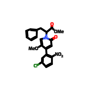 COC(=O)C(Cc1ccccc1)n1cc(OC)c(-c2cc(Cl)ccc2[N+](=O)[O-])cc1=O